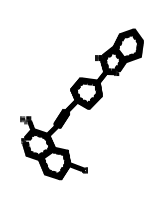 Nc1ncc2ccc(Cl)cc2c1C#Cc1ccc(-c2nc3ccccc3[nH]2)cc1